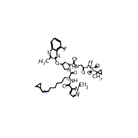 Cc1nc2cccc(F)c2nc1O[C@@H]1C[C@@H](C(=O)NCC(=O)NS(=O)(=O)C2(C)CC2)N(C(=O)[C@H](CCCCC/C=C\C2CC2)NC(=O)c2ccnn2C)C1